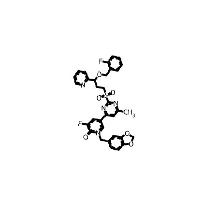 Cc1cc(-c2cc(F)c(=O)n(Cc3ccc4c(c3)OCO4)c2)nc(S(=O)(=O)CCC(OCc2ccccc2F)c2ccccn2)n1